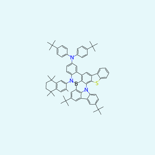 Cc1cc2c(cc1N1B3c4c(cc5c(sc6ccccc65)c4-n4c5ccc(C(C)(C)C)cc5c5cc(C(C)(C)C)cc3c54)-c3cc(N(c4ccc(C(C)(C)C)cc4)c4ccc(C(C)(C)C)cc4)ccc31)C(C)(C)CCC2(C)C